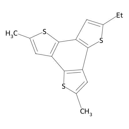 CCc1cc2c3sc(C)cc3c3sc(C)cc3c2s1